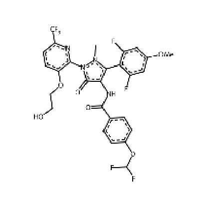 COc1cc(F)c(-c2c(NC(=O)c3ccc(OC(F)F)cc3)c(=O)n(-c3nc(C(F)(F)F)ccc3OCCO)n2C)c(F)c1